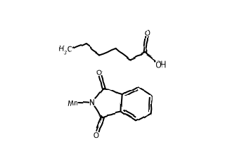 CCCCCC(=O)O.O=C1c2ccccc2C(=O)[N]1[Mn]